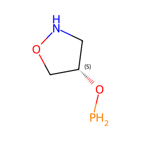 PO[C@H]1CNOC1